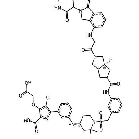 CC1(C)C[C@@H](Nc2cccc(-c3sc(C(=O)O)c(OCC(=O)O)c3Cl)c2)CCN1S(=O)(=O)Cc1cccc(NC(=O)C2CC3CN(C(=O)CNc4cccc5c4CN(C4CCC(=O)NC4=O)C5=O)C[C@H]3C2)c1